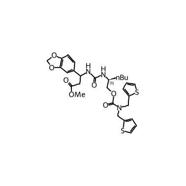 CCCC[C@@H](COC(=O)N(Cc1cccs1)Cc1cccs1)NC(=O)NC(CC(=O)OC)c1ccc2c(c1)OCO2